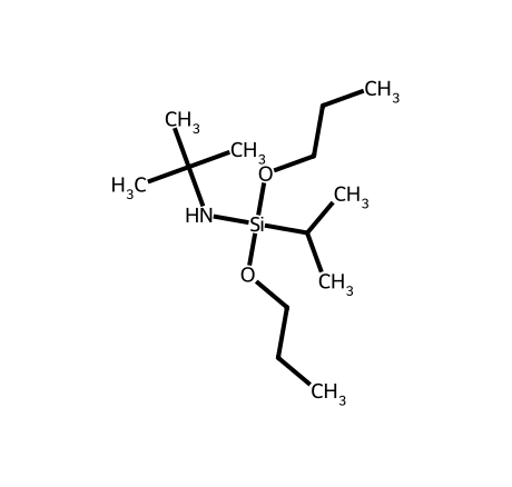 CCCO[Si](NC(C)(C)C)(OCCC)C(C)C